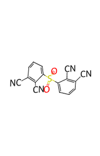 N#Cc1cccc(S(=O)(=O)c2cccc(C#N)c2C#N)c1C#N